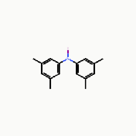 Cc1cc(C)cc(N(I)c2cc(C)cc(C)c2)c1